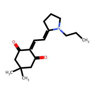 CCCN1CCC/C1=C\C=C1C(=O)CC(C)(C)CC1=O